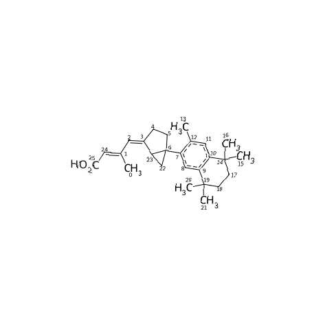 CC(/C=C1/CCC2(c3cc4c(cc3C)C(C)(C)CCC4(C)C)CC12)=C\C(=O)O